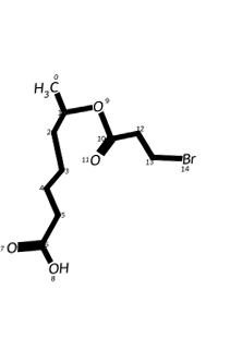 CC(CCCCC(=O)O)OC(=O)CCBr